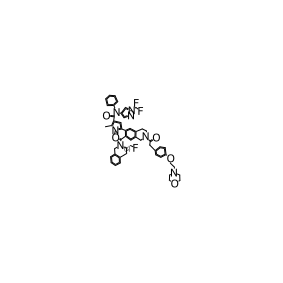 Cc1c(C(=O)N(c2ccccc2)c2cnn(C(F)F)c2)cc(-c2cc3c(cc2C(=O)N2Cc4ccccc4C[C@H]2CF)CN(C(=O)Cc2ccc(OCCN4CCOCC4)cc2)CC3)n1C